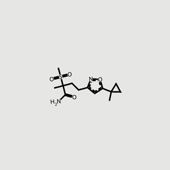 CC1(c2cc(CCC(C)(C(N)=O)S(C)(=O)=O)no2)CC1